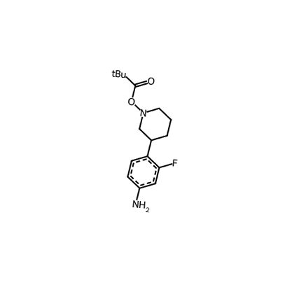 CC(C)(C)C(=O)ON1CCCC(c2ccc(N)cc2F)C1